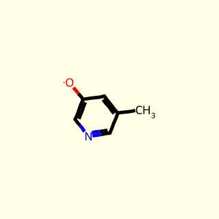 Cc1cncc([O])c1